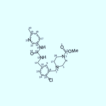 COC(=O)N1CCN(Cc2cc(CNC(=O)Nc3ccc(C)nc3)ccc2Cl)CC1